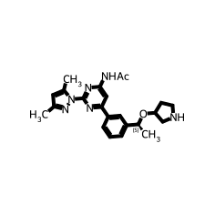 CC(=O)Nc1cc(-c2cccc([C@H](C)OC3CCNC3)c2)nc(-n2nc(C)cc2C)n1